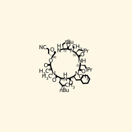 CCCC[C@@H](C)C[C@@H]1NC(=O)[C@H](CC2CCCCC2)N(C)C(=O)[C@H](CC(C)C)NC(=O)[C@H](CC(C)C)N(C)C(=O)[C@H](CC(C)(C)C)NC(=O)[C@@H](CCC#N)OC(=O)[C@H](C)N(C)C1=O